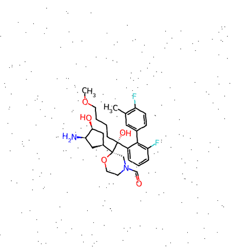 COCCCC[C@@](O)(c1cccc(F)c1-c1ccc(F)c(C)c1)[C@@]1([C@H]2C[C@@H](N)[C@@H](O)C2)CN(C=O)CCO1